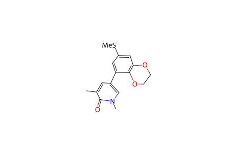 CSc1cc2c(c(-c3cc(C)c(=O)n(C)c3)c1)OCCO2